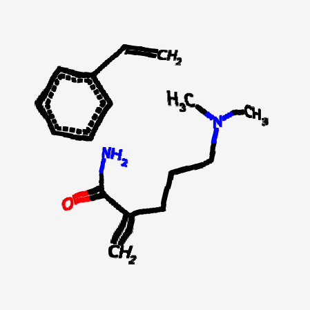 C=C(CCCN(C)C)C(N)=O.C=Cc1ccccc1